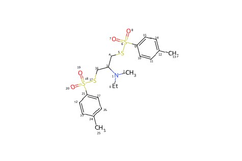 CCN(C)C(CSS(=O)(=O)c1ccc(C)cc1)CSS(=O)(=O)c1ccc(C)cc1